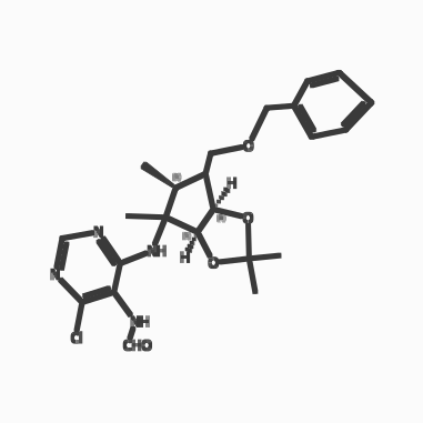 C[C@H]1C(COCc2ccccc2)[C@H]2OC(C)(C)O[C@H]2C1(C)Nc1ncnc(Cl)c1NC=O